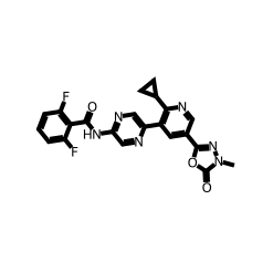 Cn1nc(-c2cnc(C3CC3)c(-c3cnc(NC(=O)c4c(F)cccc4F)cn3)c2)oc1=O